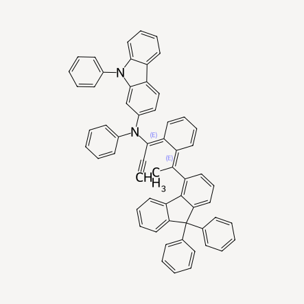 C#C/C(=c1/cccc/c1=C(/C)c1cccc2c1-c1ccccc1C2(c1ccccc1)c1ccccc1)N(c1ccccc1)c1ccc2c3ccccc3n(-c3ccccc3)c2c1